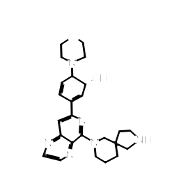 C[C@@H]1C=C(c2cc3nccnc3c(N3CCCC4(CCNC4)C3)n2)C=CC1N1CCOCC1